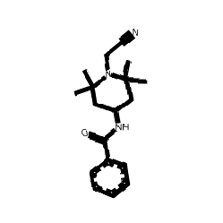 CC1(C)CC(NC(=O)c2ccccc2)CC(C)(C)N1CC#N